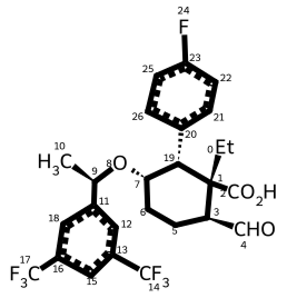 CC[C@@]1(C(=O)O)[C@@H](C=O)CC[C@H](O[C@H](C)c2cc(C(F)(F)F)cc(C(F)(F)F)c2)[C@@H]1c1ccc(F)cc1